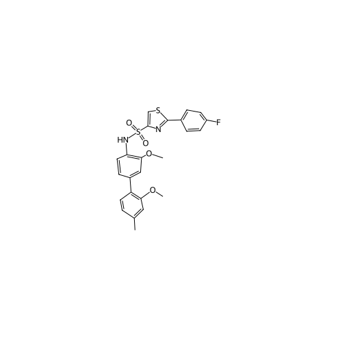 COc1cc(-c2ccc(C)cc2OC)ccc1NS(=O)(=O)c1csc(-c2ccc(F)cc2)n1